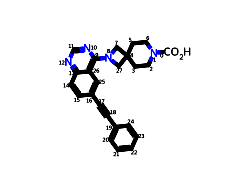 O=C(O)N1CCC2(CC1)CN(c1ncnc3ccc(C#Cc4ccccc4)cc13)C2